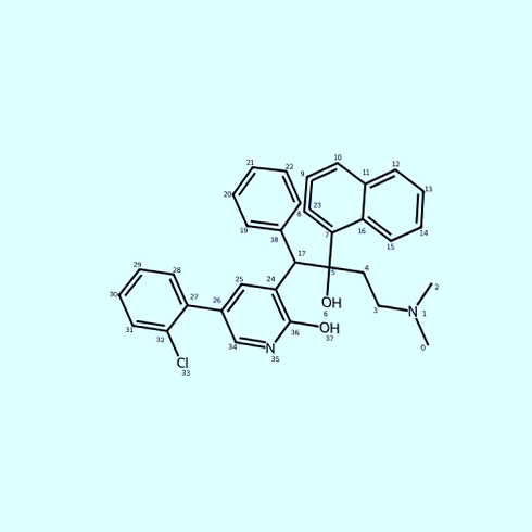 CN(C)CCC(O)(C1=C=C=Cc2ccccc21)C(c1ccccc1)c1cc(-c2ccccc2Cl)cnc1O